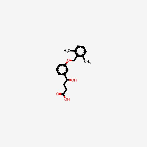 Cc1cccc(C)c1COc1cccc(C(O)CCC(=O)O)c1